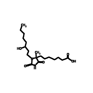 CCCCCC(O)CCN1C(=O)NC(=O)C1(C)CCCCCCC(=O)O